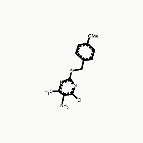 COc1ccc(CSc2nc(C)c(N)c(Cl)n2)cc1